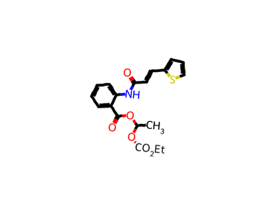 CCOC(=O)OC(C)OC(=O)c1ccccc1NC(=O)C=Cc1cccs1